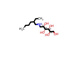 CCCCC(CC)CNC[C@H](O)[C@@H](O)[C@H](O)[C@H](O)CO